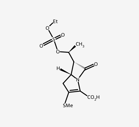 CCOS(=O)(=O)O[C@@H](C)[C@@H]1C(=O)N2C(C(=O)O)=C(SC)C[C@H]12